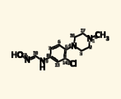 CN1CCN(c2ccc(N/C=N/O)cc2Cl)CC1